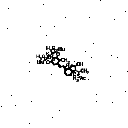 C=C1C(=CC=C2CCC[C@]3(C)[C@@H]([C@H](C)SC(C)=O)[C@@H](O)C[C@@H]23)C[C@@H](O[Si](C)(C)C(C)(C)C)C[C@@H]1O[Si](C)(C)C(C)(C)C